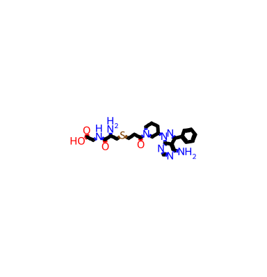 Nc1ncnc2c1c(-c1ccccc1)nn2C1CCCN(C(=O)CCSCC(N)C(=O)NCC(=O)O)C1